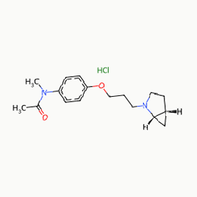 CC(=O)N(C)c1ccc(OCCCN2CC[C@@H]3C[C@@H]32)cc1.Cl